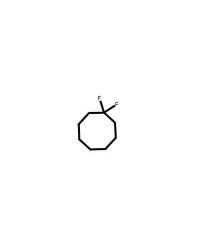 FC1(F)CC[CH]CCCC1